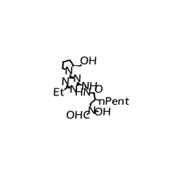 CCCCC[C@@H](CN(O)C=O)C(=O)NNc1nc(CC)nc(N2CCC[C@H]2CO)n1